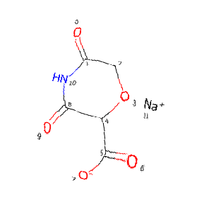 O=C1COC(C(=O)[O-])C(=O)N1.[Na+]